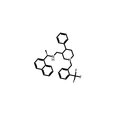 C[C@@H](NCC1CN(Cc2ccccc2C(F)(F)F)CCC1c1ccccc1)c1cccc2ccccc12